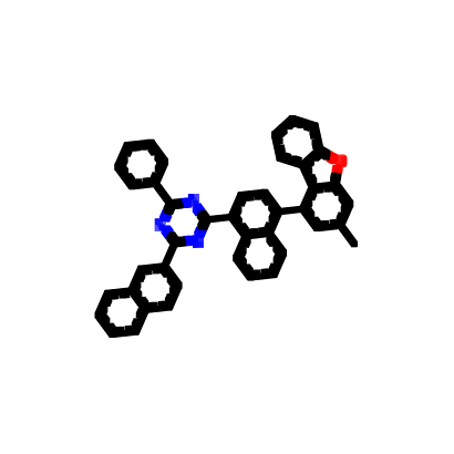 Cc1cc(-c2ccc(-c3nc(-c4ccccc4)nc(-c4ccc5ccccc5c4)n3)c3ccccc23)c2c(c1)oc1ccccc12